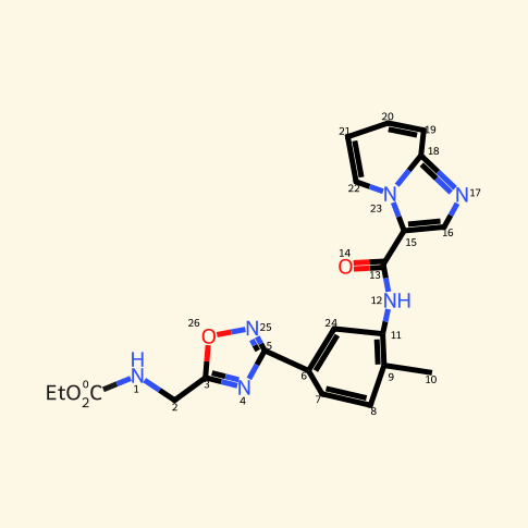 CCOC(=O)NCc1nc(-c2ccc(C)c(NC(=O)c3cnc4ccccn34)c2)no1